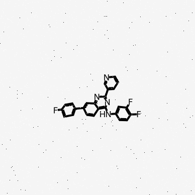 Fc1ccc(-c2ccc3c(Nc4ccc(F)c(F)c4)nc(-c4cccnc4)nc3c2)cc1